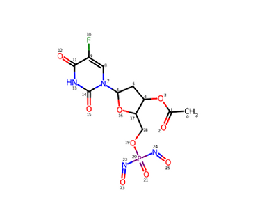 CC(=O)OC1CC(n2cc(F)c(=O)[nH]c2=O)OC1COP(=O)(N=O)N=O